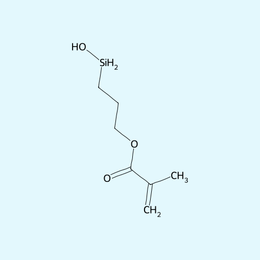 C=C(C)C(=O)OCCC[SiH2]O